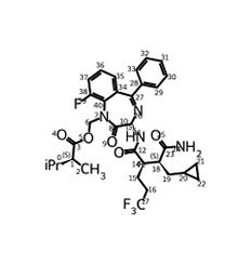 CC(C)[C@H](C)C(=O)OCN1C(=O)[C@@H](NC(=O)[C@H](CCC(F)(F)F)[C@H](CC2CC2)C(N)=O)N=C(c2ccccc2)c2cccc(F)c21